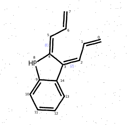 C=C/C=c1\c(=C/C=C)[pH]c2ccccc12